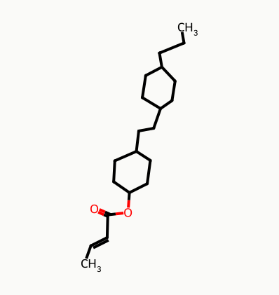 CC=CC(=O)OC1CCC(CCC2CCC(CCC)CC2)CC1